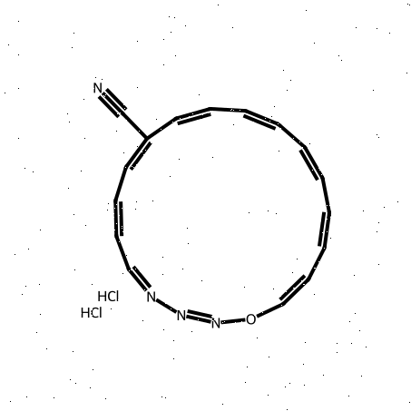 Cl.Cl.N#CC1=CC=CC=NN=NOC=CC=CC=CC=CC=C1